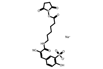 N#CC(=Cc1ccc(O)c(S(=O)(=O)[O-])c1)C(=O)NCCCCCC(=O)ON1C(=O)CCC1=O.[Na+]